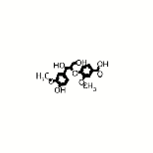 COc1cc(C(O)C(CO)Oc2ccc(C(=O)O)cc2OC)ccc1O